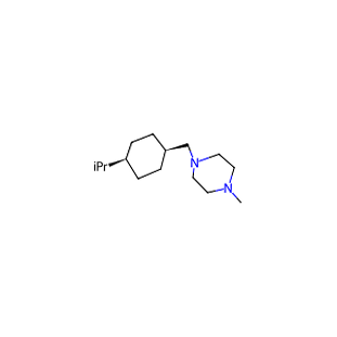 CC(C)[C@H]1CC[C@@H](CN2CCN(C)CC2)CC1